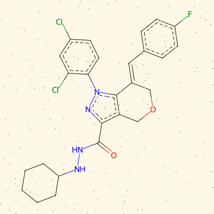 O=C(NNC1CCCCC1)c1nn(-c2ccc(Cl)cc2Cl)c2c1COC/C2=C\c1ccc(F)cc1